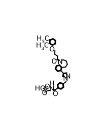 Cc1cccc(OCCCC(=O)N2CCCCc3c(-c4cnn(Cc5ccc(C(=O)NCS(=O)(=O)O)cc5)c4)cccc32)c1C